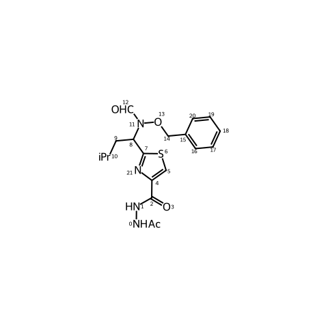 CC(=O)NNC(=O)c1csc(C(CC(C)C)N(C=O)OCc2ccccc2)n1